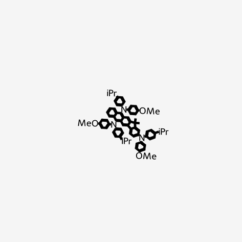 COc1ccc(N(c2ccc(C(C)C)cc2)c2ccc3c(c2)C(C)(C)c2cc4c(N(c5ccc(OC)cc5)c5ccc(C(C)C)cc5)c5ccccc5c(N(c5ccc(OC)cc5)c5ccc(C(C)C)cc5)c4cc2-3)cc1